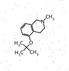 CN1CCc2c(cccc2OC(C)(C)C)C1